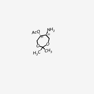 CC(=O)O[C@H]1COC(C)(C)OC[C@@H]1N